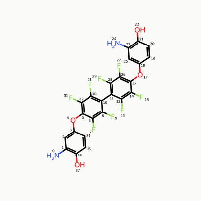 Nc1cc(Oc2c(F)c(F)c(-c3c(F)c(F)c(Oc4ccc(O)c(N)c4)c(F)c3F)c(F)c2F)ccc1O